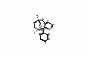 c1ccc(CN2C[C@@H]3CC[C@H]2Cc2ccccc2C3)cc1